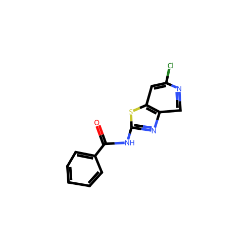 O=C(Nc1nc2cnc(Cl)cc2s1)c1ccccc1